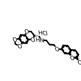 Cl.O=c1ccc2ccc(OCCCNC[C@H]3COc4cc5c(cc4O3)OCO5)cc2o1